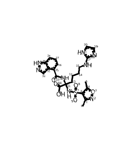 Cc1noc(C)c1S(=O)(=O)NC(CCCCNc1ncc[nH]1)(NC(=O)c1cccc2[nH]ncc12)C(=O)O